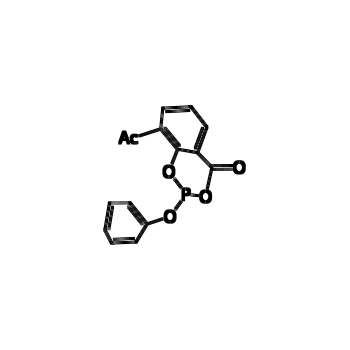 CC(=O)c1cccc2c1OP(Oc1ccccc1)OC2=O